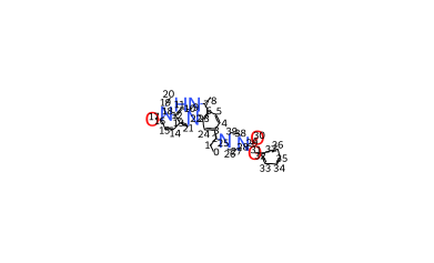 CC[C@@H](c1ccc([C@H](C)Nc2cc3c(ccc(=O)n3CC)cn2)cc1)N1CCN(C(=O)Oc2ccccc2)CC1